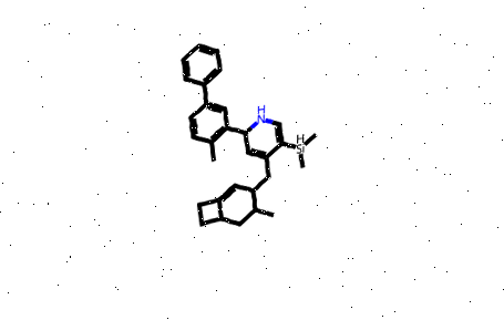 Cc1ccc(-c2ccccc2)cc1C1C=C(CC2C=C3CCC3CC2C)C([SiH](C)C)=CN1